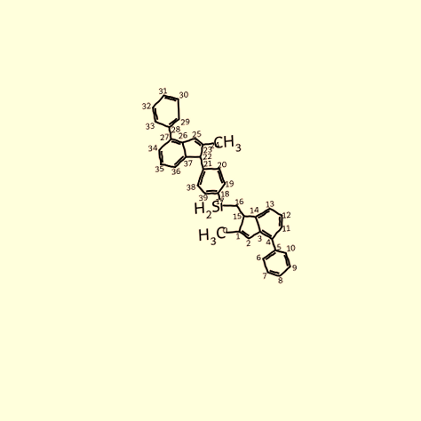 CC1=Cc2c(-c3ccccc3)cccc2C1C[SiH2]c1ccc(C2C(C)=Cc3c(-c4ccccc4)cccc32)cc1